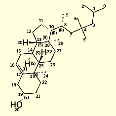 CC(C)CC(C)(C)C[C@@H](C)[C@H]1CC[C@H]2[C@@H]3CC=C4C[C@@H](O)CC[C@]4(C)[C@H]3CC[C@]12C